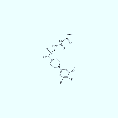 CCC(=O)NC(=O)NC[C@H](C)C(=O)N1CCN(c2cc(F)c(F)c(OC)c2)CC1